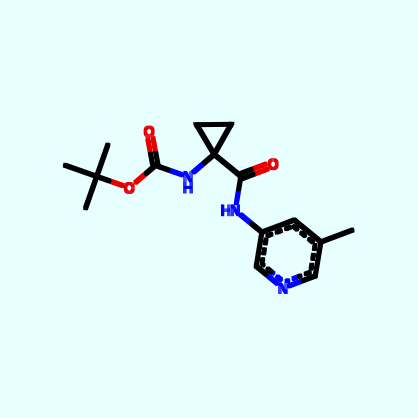 Cc1cncc(NC(=O)C2(NC(=O)OC(C)(C)C)CC2)c1